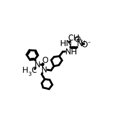 CN/C(=C\[N+](=O)[O-])NCC1CCC(CN(CC2CCCCC2)C(=O)N(C)c2ccccc2)CC1